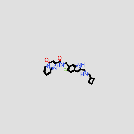 O=C(NCc1cc2[nH]c(CNCC3CCC3)cc2cc1F)c1cc(=O)n2ccccc2n1